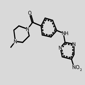 CN1CCN(C(=O)c2ccc(Nc3ncc([N+](=O)[O-])cn3)cc2)CC1